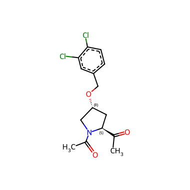 CC(=O)[C@@H]1C[C@@H](OCc2ccc(Cl)c(Cl)c2)CN1C(C)=O